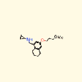 COCCCOc1cc2c(c(CNC3CC3)c1)CCCC2